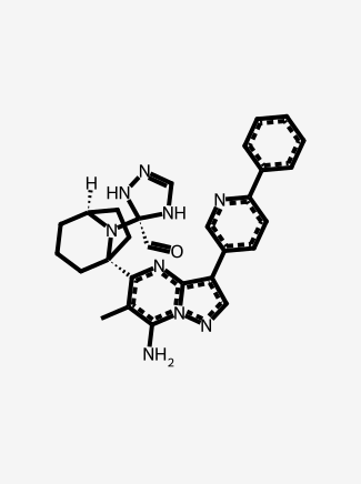 Cc1c([C@@]23CCC[C@@H](CC2)N3[C@]2(C=O)NC=NN2)nc2c(-c3ccc(-c4ccccc4)nc3)cnn2c1N